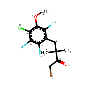 COc1c(F)c(CC(C)(C)C(=O)CBr)c(F)c(F)c1Cl